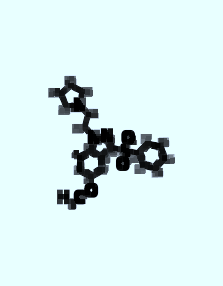 COc1ccc2c(c1)c(S(=O)(=O)c1ccccc1)nn2CCN1CCCC1